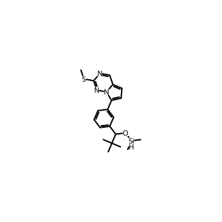 CSc1ncc2ccc(-c3cccc(C(O[SiH](C)C)C(C)(C)C)c3)n2n1